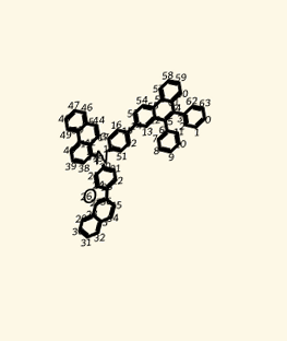 c1ccc(-c2c(-c3ccccc3)c3cc(-c4ccc(N(c5ccc6c(c5)oc5c7ccccc7ccc65)c5cccc6c5ccc5ccccc56)cc4)ccc3c3ccccc23)cc1